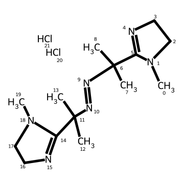 CN1CCN=C1C(C)(C)N=NC(C)(C)C1=NCCN1C.Cl.Cl